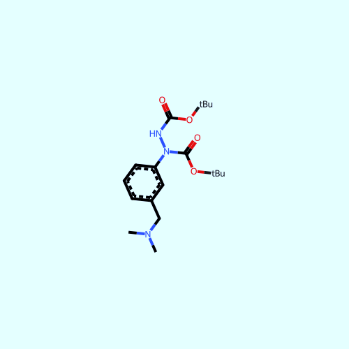 CN(C)Cc1cccc(N(NC(=O)OC(C)(C)C)C(=O)OC(C)(C)C)c1